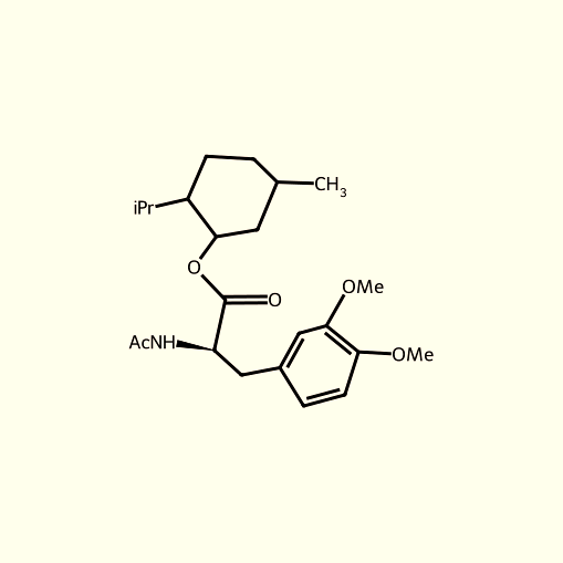 COc1ccc(C[C@@H](NC(C)=O)C(=O)OC2CC(C)CCC2C(C)C)cc1OC